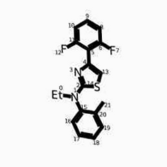 CCN(c1nc(-c2c(F)cccc2F)cs1)c1ccccc1C